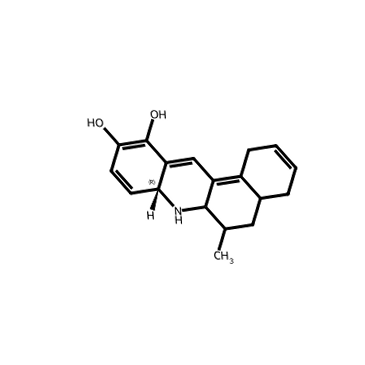 CC1CC2CC=CCC2=C2C=C3C(O)=C(O)C=C[C@H]3NC21